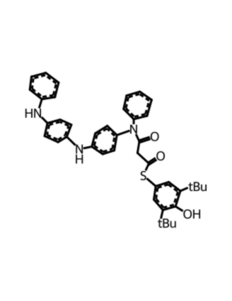 CC(C)(C)c1cc(SC(=O)CC(=O)N(c2ccccc2)c2ccc(Nc3ccc(Nc4ccccc4)cc3)cc2)cc(C(C)(C)C)c1O